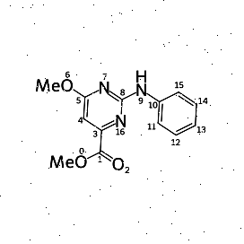 COC(=O)c1cc(OC)nc(Nc2ccccc2)n1